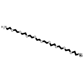 NCCOCCOCCOCCOCCOCCOCCOCCOCCOCCNO